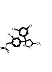 N#Cc1cc(C2(c3cc(Cl)cc(Cl)c3)CC(C(F)(F)F)ON2)ccc1C[SH](=O)=O